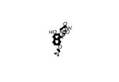 CN(C)CCOc1ccc2cc(O)c(N3CC(=O)NS3(=O)=O)c(F)c2c1